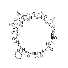 C/C=C/C[C@@H](C)[C@@H](O)[C@H]1C(=O)N[C@@H](CC)C(=O)N(C)CC(=O)N(C)[C@@H](Cc2ccccc2)C(=O)N[C@@H](C(C)C)C(=O)N(C)[C@@H](C)C(=O)N[C@@H](C)C(=O)N[C@H](C)C(=O)N(C)[C@@H](CC(C)C)C(=O)N(C)[C@@H](CC(C)C)C(=O)N(C)[C@@H](C(C)C)C(=O)N1C